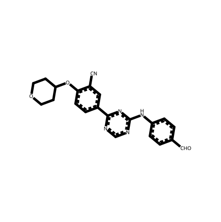 N#Cc1cc(-c2ncnc(Nc3ccc(C=O)cc3)n2)ccc1OC1CCOCC1